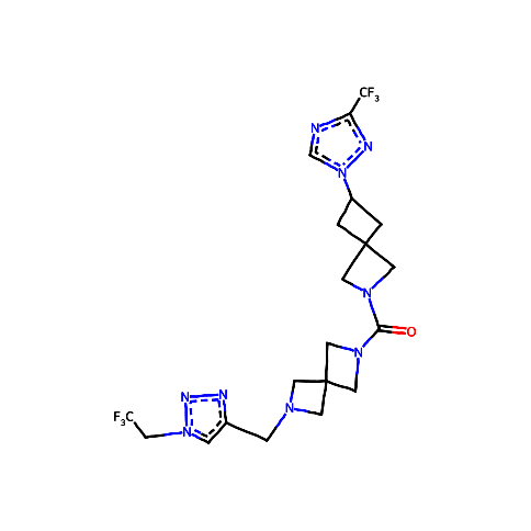 O=C(N1CC2(CC(n3cnc(C(F)(F)F)n3)C2)C1)N1CC2(CN(Cc3cn(CC(F)(F)F)nn3)C2)C1